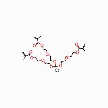 C=C(C)C(=O)OCCOCCOC(CC)(OCCOCCOC(=O)C(=C)C)OCCOCCOC(=O)C(=C)C